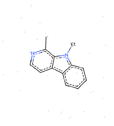 [CH2]c1nccc2c3ccccc3n(CC)c12